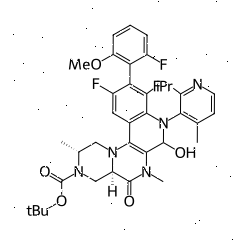 COc1cccc(F)c1-c1c(F)cc2c(c1F)N(c1c(C)ccnc1C(C)C)C(O)C1=C2N2C[C@@H](C)N(C(=O)OC(C)(C)C)C[C@@H]2C(=O)N1C